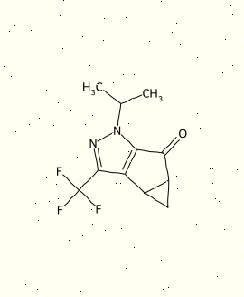 CC(C)n1nc(C(F)(F)F)c2c1C(=O)C1CC21